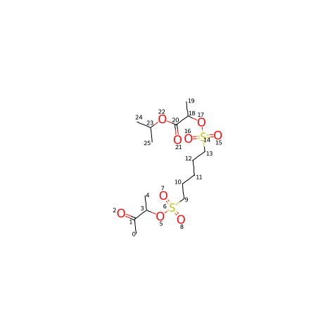 CC(=O)C(C)OS(=O)(=O)CCCCCS(=O)(=O)OC(C)C(=O)OC(C)C